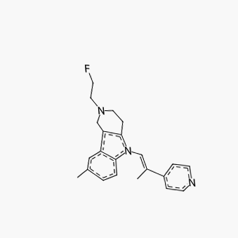 C/C(=C\n1c2c(c3cc(C)ccc31)CN(CCF)CC2)c1ccncc1